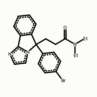 CCN(CC)C(=O)CCC1(c2ccc(Br)cc2)c2ccccc2-c2nccn21